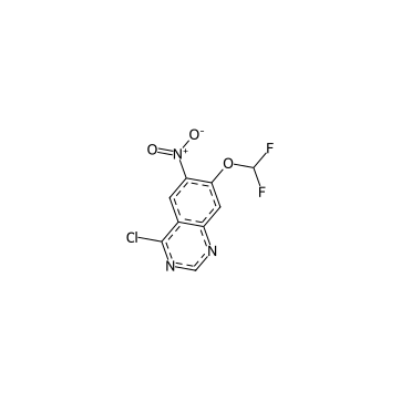 O=[N+]([O-])c1cc2c(Cl)ncnc2cc1OC(F)F